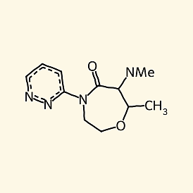 CNC1C(=O)N(c2cccnn2)CCOC1C